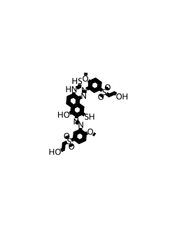 COc1ccc(S(=O)(=O)CCO)cc1/N=N/c1c(S)cc2c(/N=N/c3cc(S(=O)(=O)CCO)ccc3OC)c(NCS)ccc2c1O